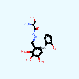 NC(CO)C(=O)NNCc1ccc(O)c(O)c1O.[CH2]Oc1ccccc1O